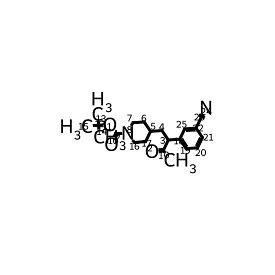 CC(=O)C(CC1CCN(C(=O)OC(C)(C)C)CC1)c1cccc(C#N)c1